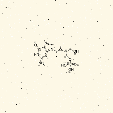 Nc1nc2c(ncn2COC(CO)COP(=O)(O)O)c(=O)[nH]1